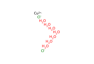 O.O.O.O.O.O.O.[Cl-].[Cl-].[Cu+2]